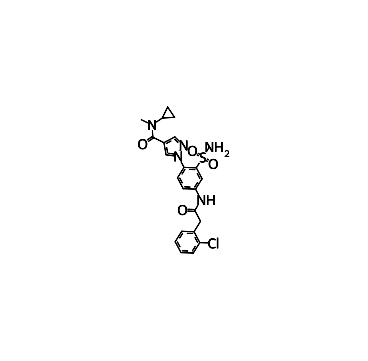 CN(C(=O)c1cnn(-c2ccc(NC(=O)Cc3ccccc3Cl)cc2S(N)(=O)=O)c1)C1CC1